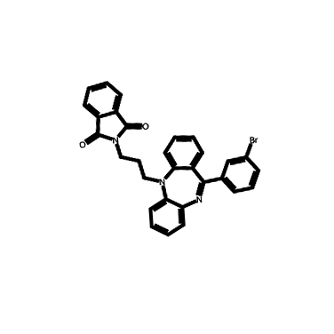 O=C1c2ccccc2C(=O)N1CCCN1c2ccccc2N=C(c2cccc(Br)c2)c2ccccc21